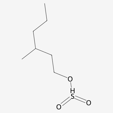 CCCC(C)CCO[SH](=O)=O